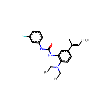 C/C(=C\C(=O)O)c1ccc(N(CC(C)C)CC(C)C)c(NC(=O)Nc2cccc(F)c2)c1